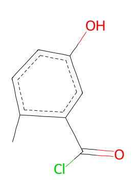 Cc1ccc(O)cc1C(=O)Cl